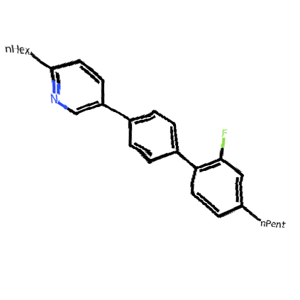 CCCCCCc1ccc(-c2ccc(-c3ccc(CCCCC)cc3F)cc2)cn1